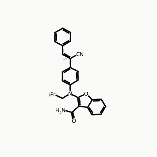 CC(C)CN(c1ccc(/C(C#N)=C/c2ccccc2)cc1)c1oc2ccccc2c1C(N)=O